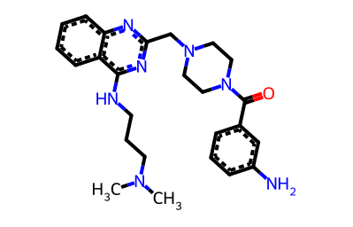 CN(C)CCCNc1nc(CN2CCN(C(=O)c3cccc(N)c3)CC2)nc2ccccc12